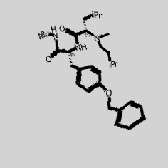 CC(C)CCN(C)[C@@H](CC(C)C)C(=O)N[C@H](Cc1ccc(OCc2ccccc2)cc1)C(=O)NC(C)(C)C